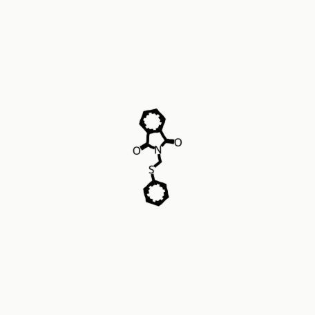 O=C1c2ccccc2C(=O)N1CSc1ccccc1